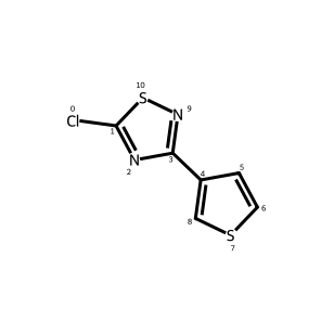 Clc1nc(-c2ccsc2)ns1